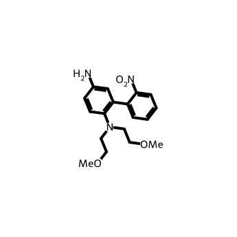 COCCN(CCOC)c1ccc(N)cc1-c1ccccc1[N+](=O)[O-]